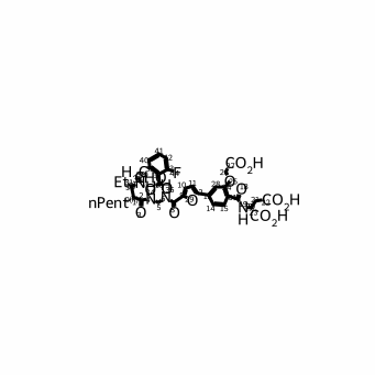 CCCCC[C@@H](C(=O)NCNC(=O)c1ccc(-c2ccc(C(=O)N[C@@H](CC(=O)O)C(=O)O)c(OCC(=O)O)c2)o1)[C@@H](CC)N(C=O)OC(=O)c1c(C)cccc1F